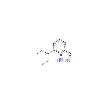 CCC(CC)c1cccc2cn[nH]c12